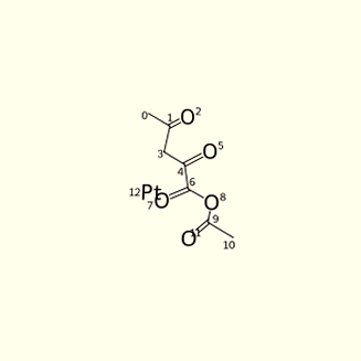 CC(=O)CC(=O)C(=O)OC(C)=O.[Pt]